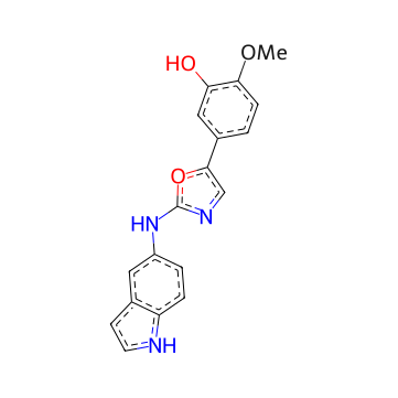 COc1ccc(-c2cnc(Nc3ccc4[nH]ccc4c3)o2)cc1O